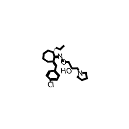 CCC[C@H]1CCCCC(=Cc2ccc(Cl)cc2)C1=NOCC(O)CN1CCCC1